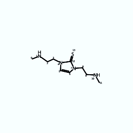 CNCCn1ccn(CCNC)c1=S